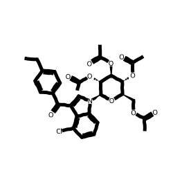 CCc1ccc(C(=O)c2cn([C@@H]3O[C@H](COC(C)=O)[C@@H](OC(C)=O)[C@H](OC(C)=O)[C@H]3OC(C)=O)c3cccc(Cl)c23)cc1